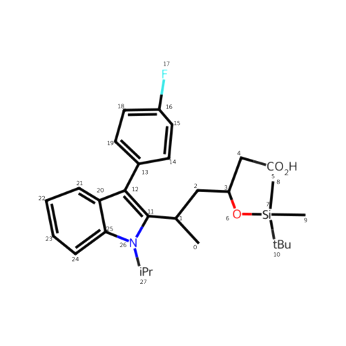 CC(CC(CC(=O)O)O[Si](C)(C)C(C)(C)C)c1c(-c2ccc(F)cc2)c2ccccc2n1C(C)C